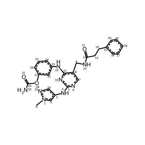 Cn1cc(Nc2ncc(CNC(=O)CCc3ccccc3)c(Nc3cccc(OC(N)=O)c3)n2)cn1